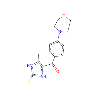 Cc1[nH]c(=S)[nH]c1C(=O)c1ccc(N2CCOCC2)cc1